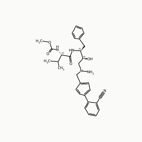 COC(=O)N[C@H](C(=O)N[C@@H](Cc1ccccc1)[C@@H](O)CN(N)Cc1ccc(-c2ccccc2C#N)cc1)C(C)C